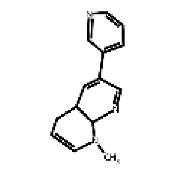 CN1C=CCC2C=C(c3cccnc3)C=NC21